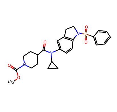 CC(C)(C)OC(=O)N1CCC(C(=O)N(c2ccc3c(c2)CCN3S(=O)(=O)c2ccccc2)C2CC2)CC1